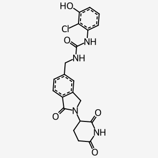 O=C1CCC(N2Cc3cc(CNC(=O)Nc4cccc(O)c4Cl)ccc3C2=O)C(=O)N1